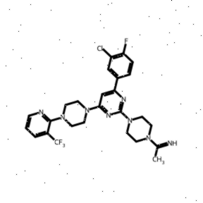 CC(=N)N1CCN(c2nc(-c3ccc(F)c(Cl)c3)cc(N3CCN(c4ncccc4C(F)(F)F)CC3)n2)CC1